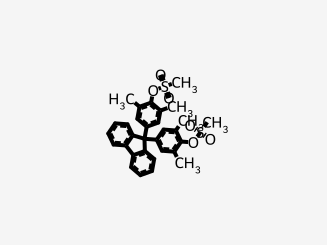 Cc1cc(C2(c3cc(C)c(OS(C)(=O)=O)c(C)c3)c3ccccc3-c3ccccc32)cc(C)c1OS(C)(=O)=O